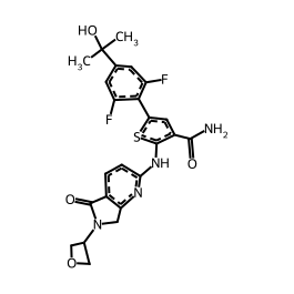 CC(C)(O)c1cc(F)c(-c2cc(C(N)=O)c(Nc3ccc4c(n3)CN(C3COC3)C4=O)s2)c(F)c1